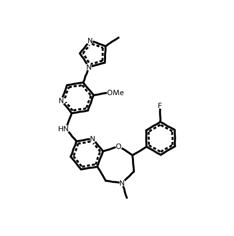 COc1cc(Nc2ccc3c(n2)OC(c2cccc(F)c2)CN(C)C3)ncc1-n1cnc(C)c1